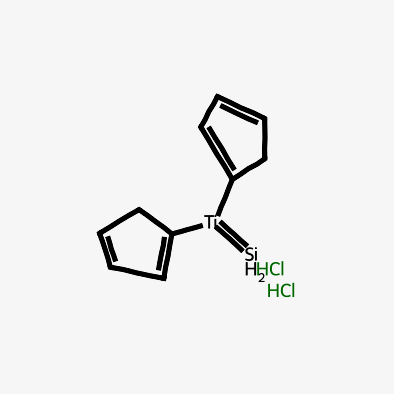 Cl.Cl.[SiH2]=[Ti]([C]1=CC=CC1)[C]1=CC=CC1